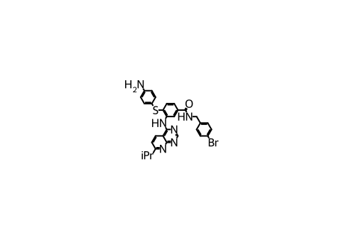 CC(C)c1ccc2c(Nc3cc(C(=O)NCc4ccc(Br)cc4)ccc3Sc3ccc(N)cc3)ncnc2n1